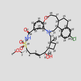 COC[C@H]1C/C=C/[C@H](O)[C@@H]2CC[C@H]2CN2CC3c4ccc(Cl)cc4CCC3CCOc3ccc(cc32)C(=O)NS1(=O)=O